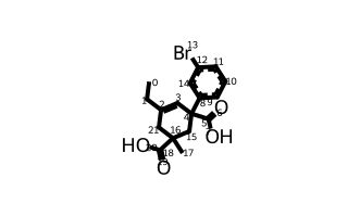 CCC1=CC(C(=O)O)(c2cccc(Br)c2)CC(C)(C(=O)O)C1